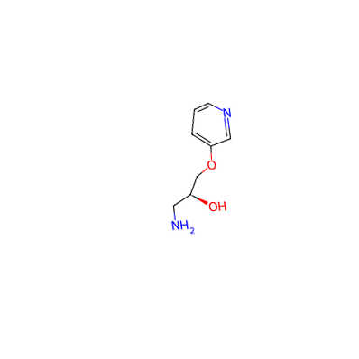 NC[C@H](O)COc1cccnc1